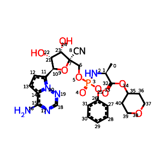 C[C@H](N[P@@](=O)(OC[C@@]1(C#N)O[C@@H](c2ccc3c(N)ncnn23)[C@H](O)[C@@H]1O)Oc1ccccc1)C(=O)OC1CCOCC1